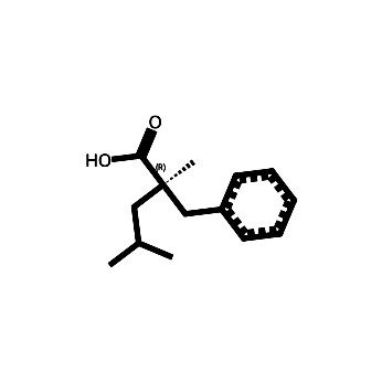 CC(C)C[C@](C)(Cc1ccccc1)C(=O)O